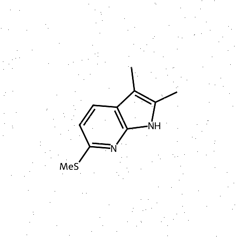 CSc1ccc2c(C)c(C)[nH]c2n1